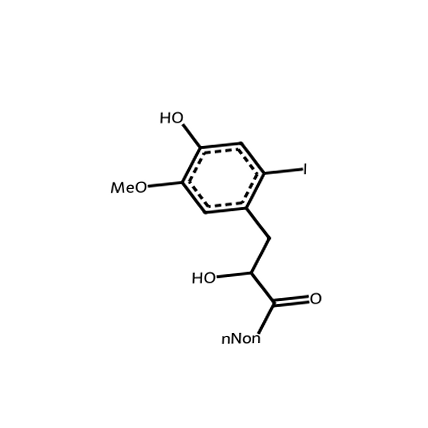 CCCCCCCCCC(=O)C(O)Cc1cc(OC)c(O)cc1I